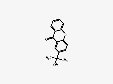 CC(C)(O)c1ccc2sc3ccccc3c(=O)c2c1